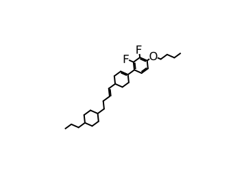 CCCCOc1ccc(C2=CCC(/C=C/CCC3CCC(CCC)CC3)CC2)c(F)c1F